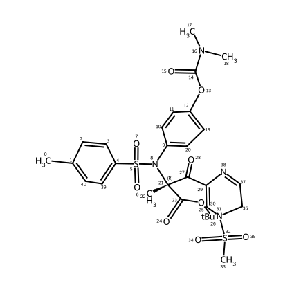 Cc1ccc(S(=O)(=O)N(c2ccc(OC(=O)N(C)C)cc2)[C@@](C)(C(=O)OC(C)(C)C)C(=O)C2=CN(S(C)(=O)=O)CC=N2)cc1